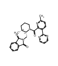 Cc1ccc(-c2ncccn2)c(C(=O)N2CCC[C@@H](C)[C@H]2CN2C(=O)c3ccccc3C2=O)n1